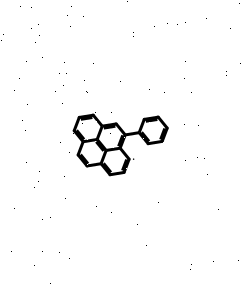 [c]1ccc2ccc3cccc4cc(-c5ccccc5)c1c2c34